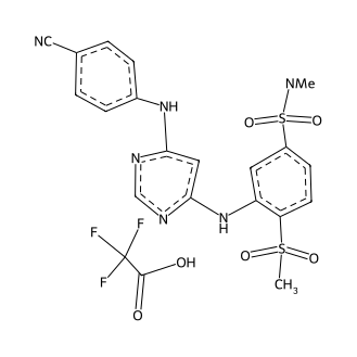 CNS(=O)(=O)c1ccc(S(C)(=O)=O)c(Nc2cc(Nc3ccc(C#N)cc3)ncn2)c1.O=C(O)C(F)(F)F